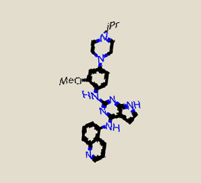 COc1cc(N2CCN(C(C)C)CC2)ccc1Nc1nc(Nc2cccc3ncccc23)c2cc[nH]c2n1